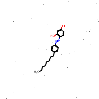 CCCCCCCCc1ccc(N=Nc2ccc(O)cc2O)cc1